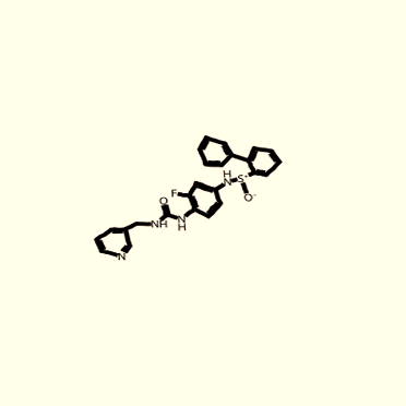 O=C(NCc1cccnc1)Nc1ccc(N[S+]([O-])c2ccccc2-c2ccccc2)cc1F